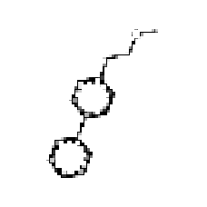 COC[CH]c1ccc(-c2ccccc2)cc1